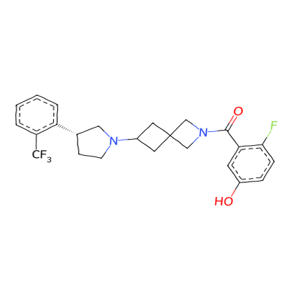 O=C(c1cc(O)ccc1F)N1CC2(CC(N3CC[C@H](c4ccccc4C(F)(F)F)C3)C2)C1